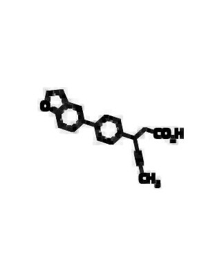 CC#CC(CC(=O)O)c1ccc(-c2ccc3occc3c2)cc1